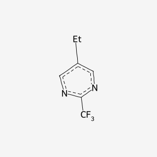 CCc1cnc(C(F)(F)F)nc1